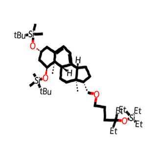 CCC(CC)(CCCOC[C@H]1CC[C@H]2C3=CC=C4C[C@@H](O[Si](C)(C)C(C)(C)C)C[C@H](O[Si](C)(C)C(C)(C)C)[C@]4(C)[C@H]3CC[C@]12C)O[Si](CC)(CC)CC